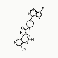 N#Cc1cncc2c1O[C@H]1C[C@@H]2N(C(=O)C2(F)CCN(c3ncnc4c(F)cnn34)CC2)C1